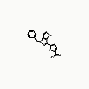 O=C(O)c1ccc(-c2nn(Cc3ccccc3)c3cc[se]c23)o1